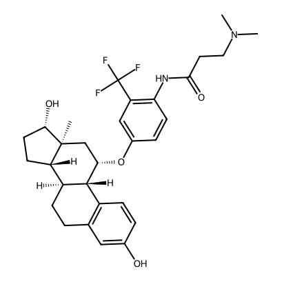 CN(C)CCC(=O)Nc1ccc(O[C@H]2C[C@]3(C)[C@@H](O)CC[C@H]3[C@@H]3CCc4cc(O)ccc4[C@H]32)cc1C(F)(F)F